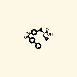 CN(C(=O)c1ccc(-c2ccccc2)cc1)c1ccc(C2CC2N(CC2CC2)C(=O)O)cc1